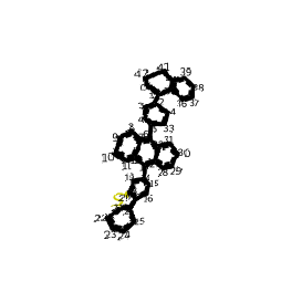 C1=C(c2ccc(-c3c4ccccc4c(-c4ccc5c(c4)sc4ccccc45)c4ccccc34)cc2)c2ccccc2CC1